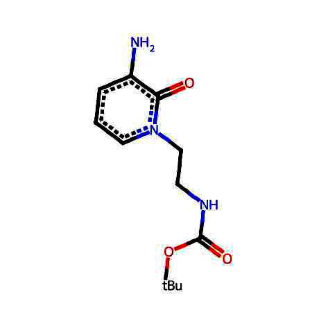 CC(C)(C)OC(=O)NCCn1cccc(N)c1=O